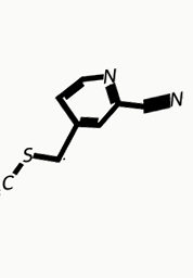 CS[CH]c1ccnc(C#N)c1